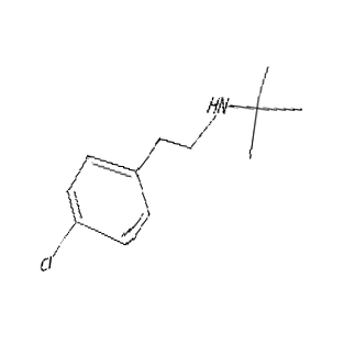 CC(C)(C)NCCc1ccc(Cl)cc1